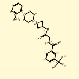 Nc1ncccc1[C@H]1CC[C@@H](N2CC(NC(=O)CNC(=O)c3cccc(C(F)(F)F)c3)C2)CC1